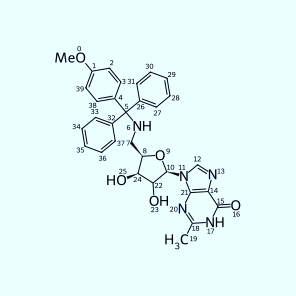 COc1ccc(C(NC[C@H]2O[C@@H](n3cnc4c(=O)[nH]c(C)nc43)C(O)[C@H]2O)(c2ccccc2)c2ccccc2)cc1